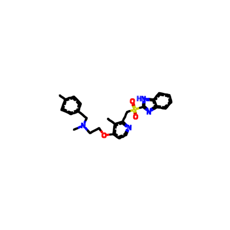 Cc1ccc(CN(C)CCOc2ccnc(CS(=O)(=O)c3nc4ccccc4[nH]3)c2C)cc1